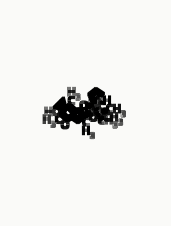 CC1=C2C(=C[C@@](C)(CO[Si](C)(C)C(C)(C)C)[C@@H]2OC(=O)[C@@H]2CCCN2)C(=O)C(C)(O)C12CC2